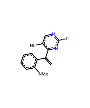 C=C(c1ccccc1NC)c1nc(Cl)ncc1C#N